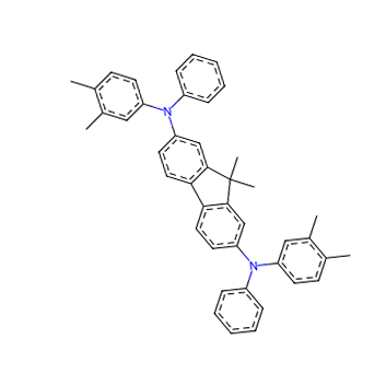 Cc1ccc(N(c2ccccc2)c2ccc3c(c2)C(C)(C)c2cc(N(c4ccccc4)c4ccc(C)c(C)c4)ccc2-3)cc1C